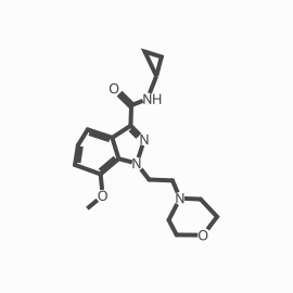 COc1cccc2c(C(=O)NC3CC3)nn(CCN3CCOCC3)c12